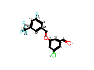 O=Cc1cc(Cl)cc(OCc2cc(F)cc(C(F)(F)F)c2)c1